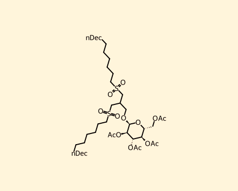 CCCCCCCCCCCCCCCCS(=O)(=O)CC(CO[C@H]1O[C@H](COC(C)=O)[C@@H](OC(C)=O)[C@H](OC(C)=O)[C@H]1OC(C)=O)CS(=O)(=O)CCCCCCCCCCCCCCCC